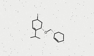 CC(C)C1=CCC(I)C[C@@H]1OC[C@H]1C=CCCC1